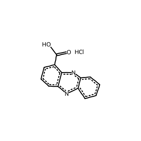 Cl.O=C(O)c1cccc2nc3ccccc3nc12